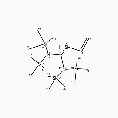 C=C[SiH2]C(N([Si](C)(C)C)[Si](C)(C)C)N([Si](C)(C)C)[Si](C)(C)C